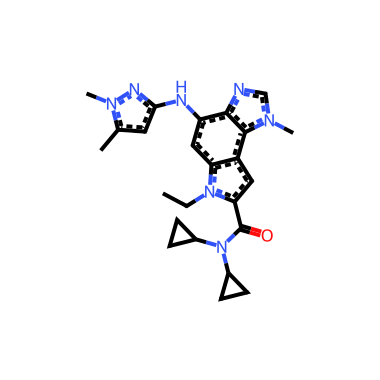 CCn1c(C(=O)N(C2CC2)C2CC2)cc2c3c(ncn3C)c(Nc3cc(C)n(C)n3)cc21